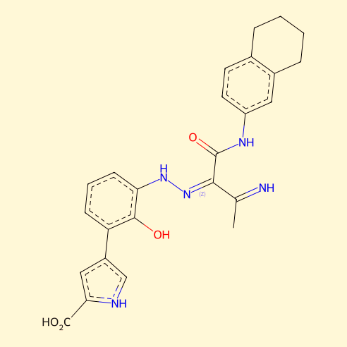 CC(=N)/C(=N/Nc1cccc(-c2c[nH]c(C(=O)O)c2)c1O)C(=O)Nc1ccc2c(c1)CCCC2